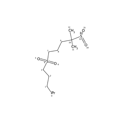 CC(C)CCCS(=O)(=O)CCCC(C)(C)[SH](=O)=O